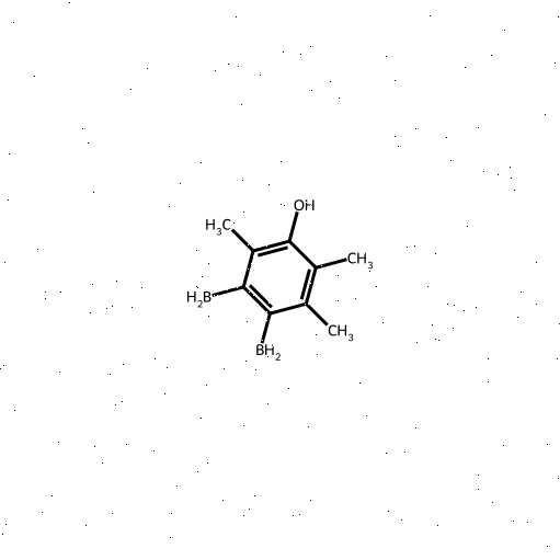 Bc1c(B)c(C)c(O)c(C)c1C